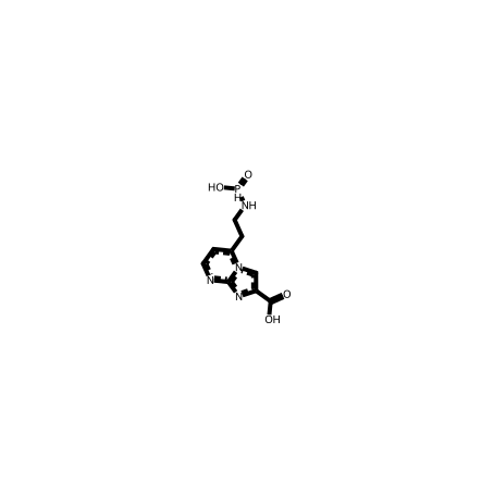 O=C(O)c1cn2c(CCN[PH](=O)O)ccnc2n1